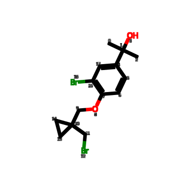 CC(C)(O)c1ccc(OCC2(CBr)CC2)c(Br)c1